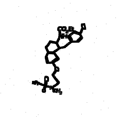 CCCS(=O)(=O)N(C)CCOc1ccc2c(c1)C(Cc1ccc(Cl)cc1)C(NC(=O)OCC)CC2